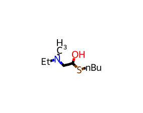 CCCCSC(O)CN(C)CC